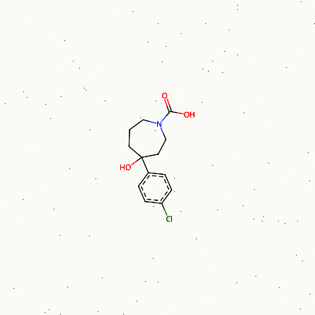 O=C(O)N1CCCC(O)(c2ccc(Cl)cc2)CC1